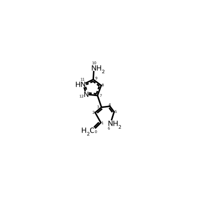 C=C/C=C(\C=C/N)c1cc(N)[nH]n1